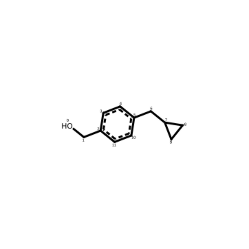 OCc1ccc(CC2CC2)cc1